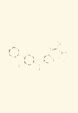 CC(c1ccc(-c2ccccc2)c(F)c1)c1cc(/N=C(/N)N2CCCC2)no1